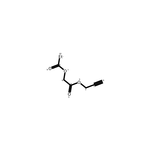 C#CCOC(=O)COC(=O)[CH]C